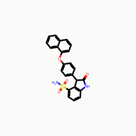 NS(=O)(=O)c1cccc2c1C(c1ccc(Oc3cccc4ccccc34)cc1)C(=O)N2